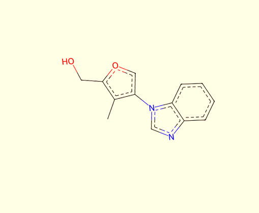 Cc1c(-n2cnc3ccccc32)coc1CO